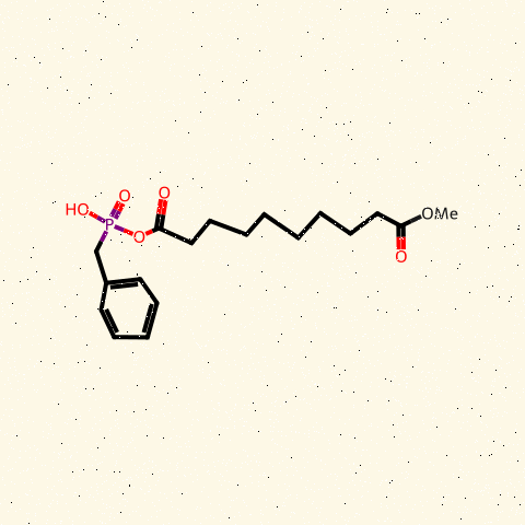 COC(=O)CCCCCCCCC(=O)OP(=O)(O)Cc1ccccc1